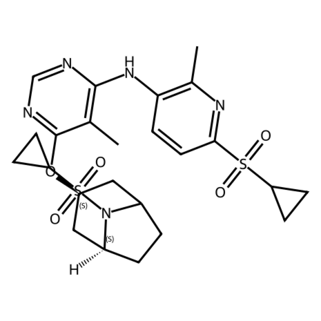 Cc1nc(S(=O)(=O)C2CC2)ccc1Nc1ncnc(O[C@H]2CC3CC[C@@H](C2)N3S(=O)(=O)C2CC2)c1C